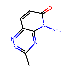 Cc1nnc2ccc(=O)n(N)c2n1